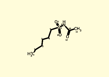 CCCCCCS(=O)(=O)NC(C)=O